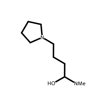 CNC(O)CCCN1CCCC1